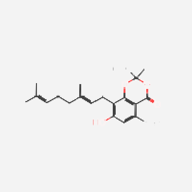 CCCCCc1cc(O)c(C/C=C(\C)CCC=C(C)C)c2c1C(=O)OC(C)(C(=O)OCC)O2